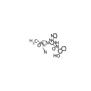 C=CC(=O)N1CCN(c2cc(C(=O)Nc3cc(O)cc4ccccc34)nc(-c3ccccn3)n2)C[C@@H]1CC#N